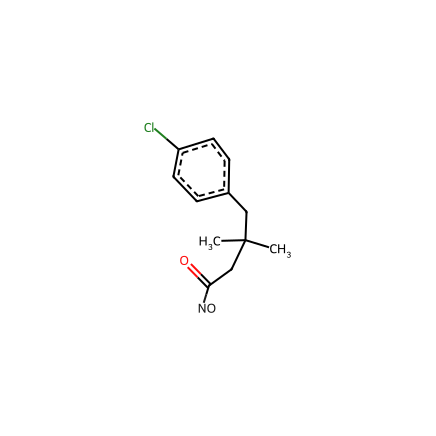 CC(C)(CC(=O)N=O)Cc1ccc(Cl)cc1